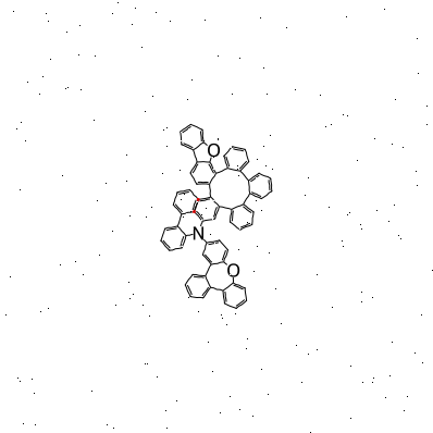 c1ccc(-c2ccccc2N(c2ccc3c(c2)-c2ccccc2-c2ccccc2O3)c2ccc3c(c2)c2ccccc2c2ccccc2c2ccccc2c2c3ccc3c4ccccc4oc32)cc1